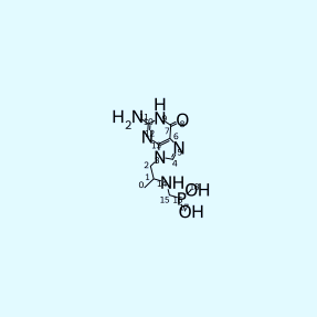 CC(Cn1cnc2c(=O)[nH]c(N)nc21)NCP(O)O